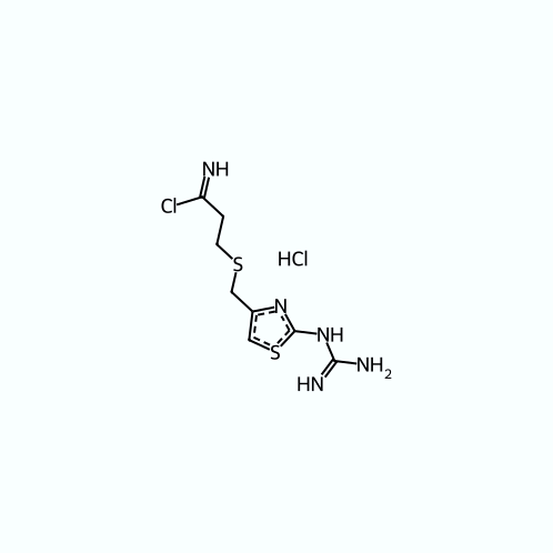 Cl.N=C(Cl)CCSCc1csc(NC(=N)N)n1